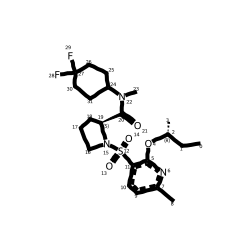 CC[C@@H](C)Oc1nc(C)ccc1S(=O)(=O)N1CCC[C@H]1C(=O)N(C)C1CCC(F)(F)CC1